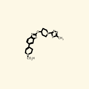 Cc1nnc(N2CCC(Oc3nc4ccc(C5=CCN(C(=O)O)CC5)cc4s3)CC2)s1